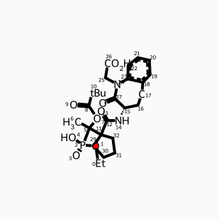 CCOP(=O)(O)C(C)(OC(=O)C(C)(C)C)C1(C(=O)N[C@H]2CCc3ccccc3N(CC(=O)O)C2=O)CCCC1